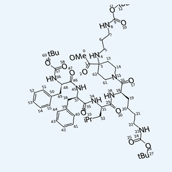 COC(=O)C1(NCCCNC(=O)OC(C)(C)C)CCN(C(=O)[C@@H](CCCCNC(=O)OC(C)(C)C)NC(=O)[C@@H](CC(C)C)NC(=O)[C@@H](Cc2ccccc2)NC(=O)[C@@H](Cc2ccccc2)NC(=O)OC(C)(C)C)CC1